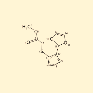 COC(=O)CSc1ccsc1C1OC=CO1